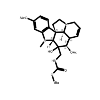 CC[C@]12C=CCN3CC[C@@]4(c5ccc(OC)cc5N(C)[C@H]4C(O)(CNC(=O)OC(C)(C)C)[C@@H]1OC(C)=O)[C@@H]32